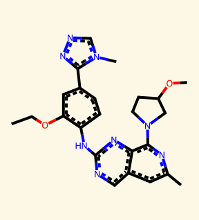 CCOc1cc(-c2nncn2C)ccc1Nc1ncc2cc(C)nc(N3CCC(OC)C3)c2n1